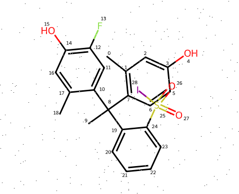 Cc1cc(O)ccc1C(C)(c1cc(F)c(O)cc1C)c1ccccc1S(=O)(=O)I